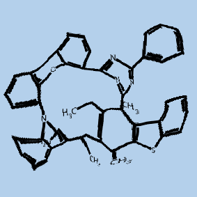 CCC1=C2C(C)c3sc4ccccc4c3C1(C)c1nc(-c3ccccc3)nc(n1)-c1cccc3c1oc1c(cccc13)-n1c(N)c(c3ccccc31)C2C